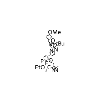 CCOC(=O)c1nn(C)c(C)c1CCOc1c(-c2ccc3ncc(CN(Cc4ccc(OC)cc4)C(=O)OC(C)(C)C)n3c2)ccc(F)c1F